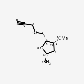 B[C@H]1C[C@@H](OC)[C@@H](COCC#C)O1